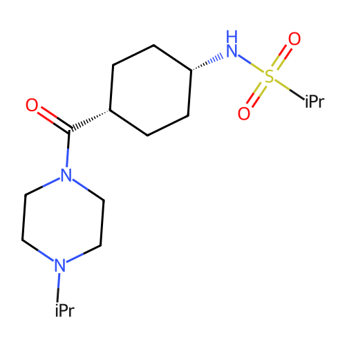 CC(C)N1CCN(C(=O)[C@H]2CC[C@@H](NS(=O)(=O)C(C)C)CC2)CC1